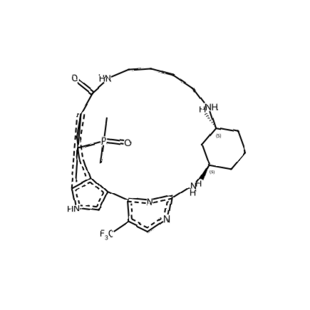 CP(C)(=O)c1c2ccc3c(c[nH]c13)-c1nc(ncc1C(F)(F)F)N[C@H]1CCC[C@@H](C1)NCCCCNC2=O